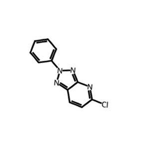 Clc1ccc2nn(-c3ccccc3)nc2n1